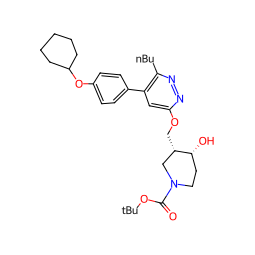 CCCCc1nnc(OC[C@H]2CN(C(=O)OC(C)(C)C)CC[C@H]2O)cc1-c1ccc(OC2CCCCC2)cc1